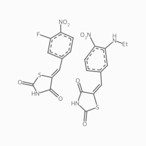 CCNc1cc(C=C2SC(=O)NC2=O)ccc1[N+](=O)[O-].O=C1NC(=O)C(=Cc2ccc([N+](=O)[O-])c(F)c2)S1